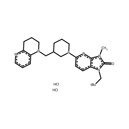 Cl.Cl.Cn1c(=O)n(CC(C)(C)C)c2ccc(N3CCCC(CN4CCCc5ncccc54)C3)nc21